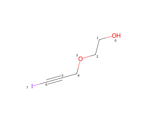 OCCOCC#CI